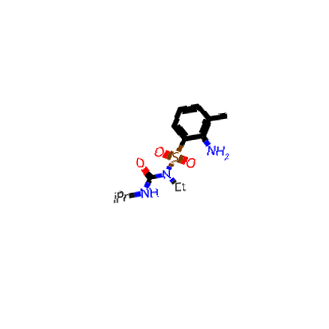 CCN(C(=O)NC(C)C)S(=O)(=O)c1cccc(C)c1N